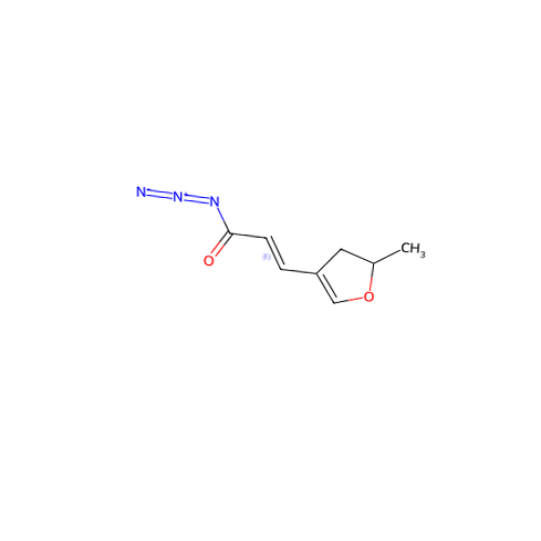 CC1CC(/C=C/C(=O)N=[N+]=[N-])=CO1